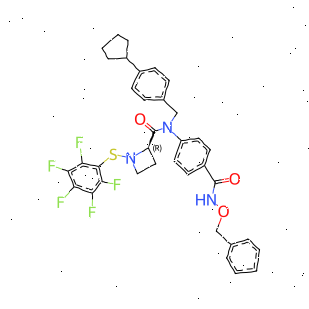 O=C(NOCc1ccccc1)c1ccc(N(Cc2ccc(C3CCCC3)cc2)C(=O)[C@H]2CCN2Sc2c(F)c(F)c(F)c(F)c2F)cc1